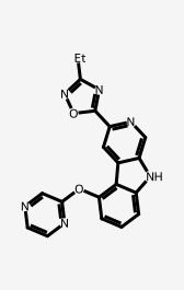 CCc1noc(-c2cc3c(cn2)[nH]c2cccc(Oc4cnccn4)c23)n1